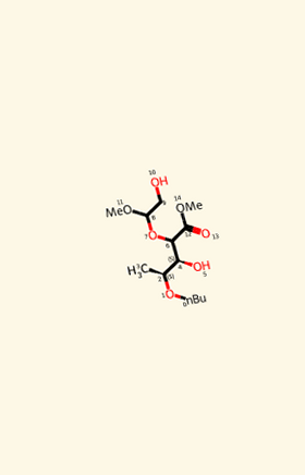 CCCCO[C@@H](C)[C@H](O)C(OC(CO)OC)C(=O)OC